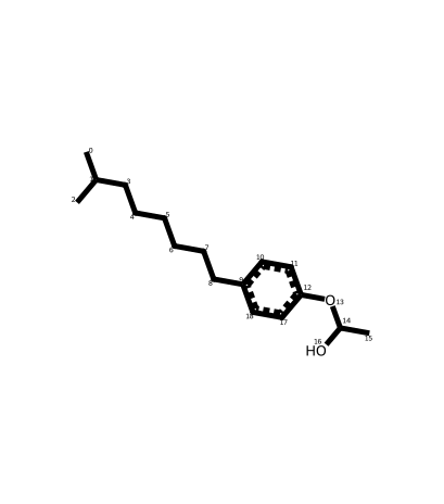 CC(C)CCCCCCc1ccc(OC(C)O)cc1